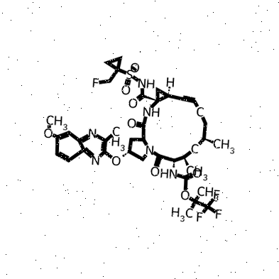 COc1ccc2nc(O[C@@H]3CC4C(=O)N[C@]5(C(=O)NS(=O)(=O)C6(CF)CC6)C[C@H]5/C=C\CC[C@@H](C)C[C@@H](C)[C@H](NC(=O)OC(C)(C)C(F)(F)F)C(=O)N4C3)c(C)nc2c1